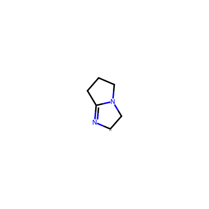 [C]1CN2CCCC2=N1